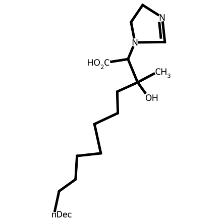 CCCCCCCCCCCCCCCCCC(C)(O)C(C(=O)O)N1C=NCC1